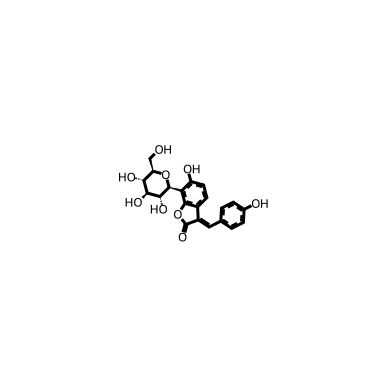 O=C1Oc2c(ccc(O)c2[C@@H]2O[C@H](CO)[C@@H](O)[C@H](O)[C@H]2O)/C1=C\c1ccc(O)cc1